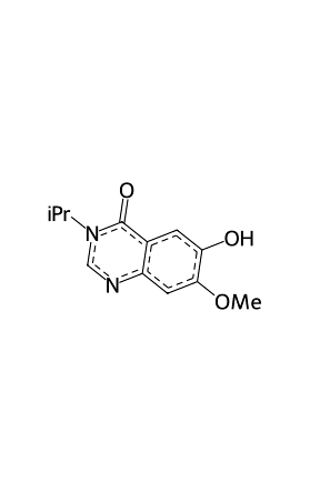 COc1cc2ncn(C(C)C)c(=O)c2cc1O